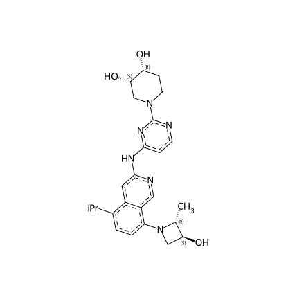 CC(C)c1ccc(N2C[C@H](O)[C@H]2C)c2cnc(Nc3ccnc(N4CC[C@@H](O)[C@@H](O)C4)n3)cc12